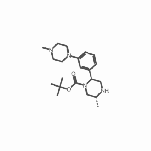 C[C@@H]1CN(C(=O)OC(C)(C)C)[C@@H](c2cccc(N3CCN(C)CC3)c2)CN1